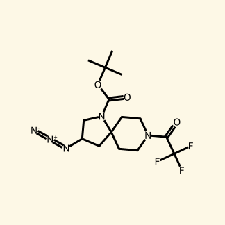 CC(C)(C)OC(=O)N1CC(N=[N+]=[N-])CC12CCN(C(=O)C(F)(F)F)CC2